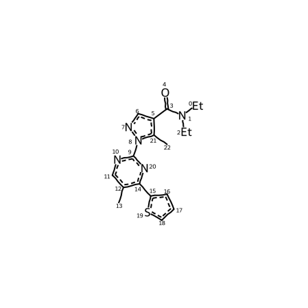 CCN(CC)C(=O)c1cnn(-c2ncc(C)c(-c3cccs3)n2)c1C